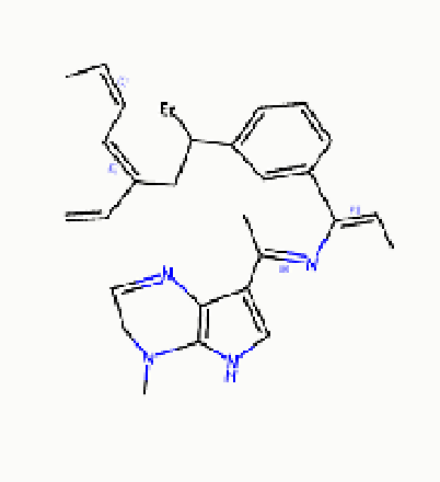 C=C/C(=C/C=C\C)CC(CC)c1cccc(C(=C/C)/N=C(\C)c2c[nH]c3c2N=CCN3C)c1